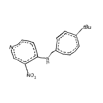 CC(C)(C)c1ccc(Nc2ccncc2[N+](=O)[O-])cc1